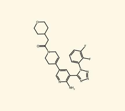 Nc1ncc(C2=CCN(C(=O)CC3CCOCC3)CC2)cc1-c1nnnn1-c1cccc(F)c1F